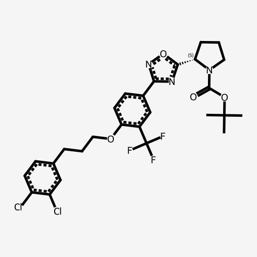 CC(C)(C)OC(=O)N1CCC[C@H]1c1nc(-c2ccc(OCCCc3ccc(Cl)c(Cl)c3)c(C(F)(F)F)c2)no1